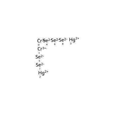 [Cr+3].[Cr+3].[Hg+2].[Hg+2].[Se-2].[Se-2].[Se-2].[Se-2].[Se-2]